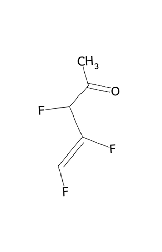 CC(=O)C(F)C(F)=CF